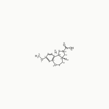 COc1ccc2c(c1)OCC[C@H]1CN(C(=O)O)C[C@H]21